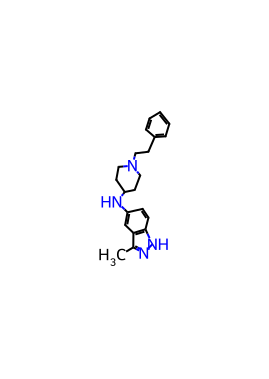 Cc1n[nH]c2ccc(NC3CCN(CCc4ccccc4)CC3)cc12